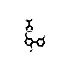 COc1ncc(Cn2cc(C(C)=O)cn2)cc1-c1cccc(Cl)c1